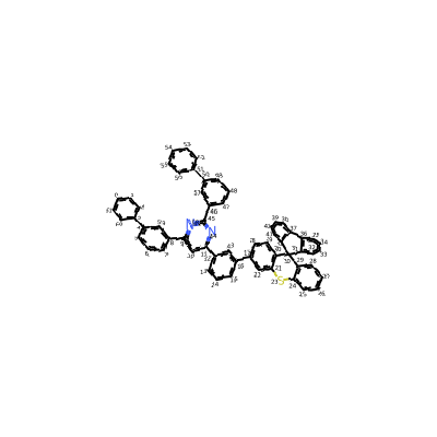 c1ccc(-c2cccc(-c3cc(-c4cccc(-c5ccc6c(c5)Sc5ccccc5C65c6ccccc6-c6ccccc65)c4)nc(-c4cccc(-c5ccccc5)c4)n3)c2)cc1